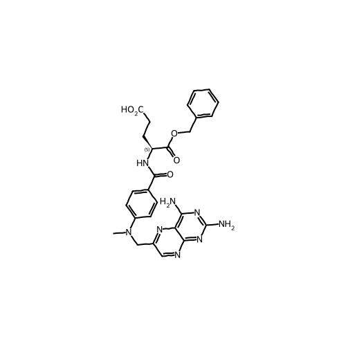 CN(Cc1cnc2nc(N)nc(N)c2n1)c1ccc(C(=O)N[C@@H](CCC(=O)O)C(=O)OCc2ccccc2)cc1